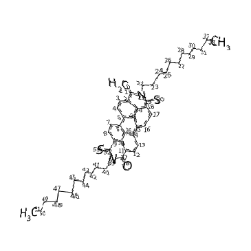 C=c1c2ccc3c4ccc5c6c(ccc(c7ccc(c(=S)n1CCCCCCCCCCCC)c2c37)c64)C(=O)N(CCCCCCCCCCCC)C5=S